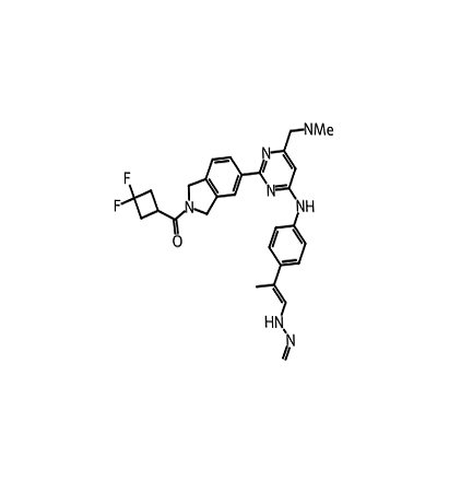 C=NN/C=C(\C)c1ccc(Nc2cc(CNC)nc(-c3ccc4c(c3)CN(C(=O)C3CC(F)(F)C3)C4)n2)cc1